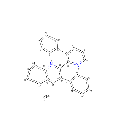 [Pt+2].c1ccc(-c2cccnc2-c2nc3ccccc3cc2-c2ccccc2)cc1